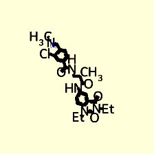 CCn1c(=O)c2cc(NC(=O)C(C)CNC(=O)c3ccc(/C=N/C)c(Cl)c3)ccc2n(CC)c1=O